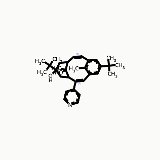 Cc1c2cc(C(C)(C)C)cc1/C=C(/c1ccncc1)C1CC(O)(C(C)(C)C)CC(/C=C\2)C1(C)O